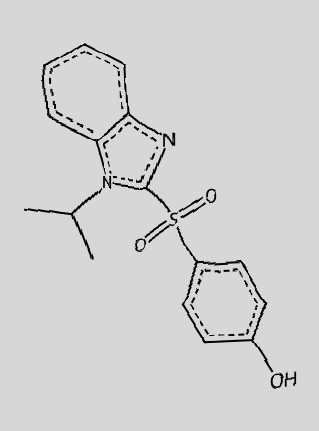 CC(C)n1c(S(=O)(=O)c2ccc(O)cc2)nc2ccccc21